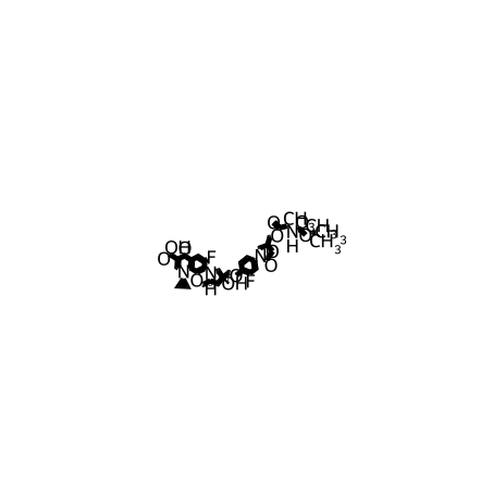 CC(NC(=O)OC(C)(C)C)C(=O)OCC1CN(c2ccc(OC[C@]3(O)C[C@H]4COc5c(c(F)cc6c(=O)c(C(=O)O)cn(C7CC7)c56)N4C3)c(F)c2)C(=O)O1